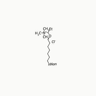 CCCCCCCCCCCCCCCCOC(CC)[N+](C)(C)C.[Cl-]